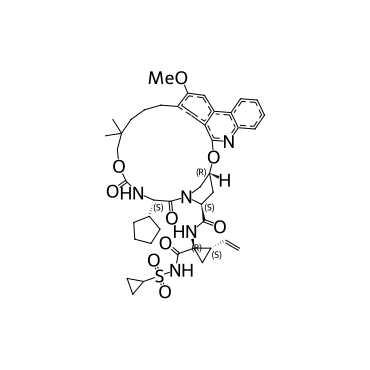 C=C[C@@H]1C[C@]1(NC(=O)[C@@H]1C[C@@H]2CN1C(=O)[C@H](C1CCCC1)NC(=O)OCC(C)(C)CCCc1cc3c(nc4ccccc4c3cc1OC)O2)C(=O)NS(=O)(=O)C1CC1